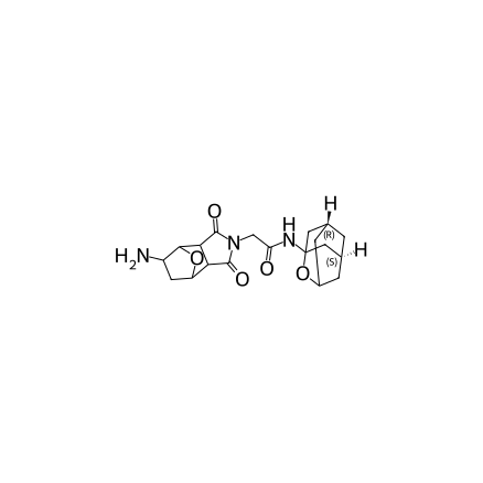 NC1CC2OC1C1C(=O)N(CC(=O)NC34C[C@@H]5CC(C[C@@H](C5)C3)O4)C(=O)C21